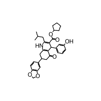 CC(C)CC1=C(C(=O)OC2CCCC2)C(c2cccc(O)c2)C2=C(CC(c3ccc4c(c3)OCO4)CC2=O)N1